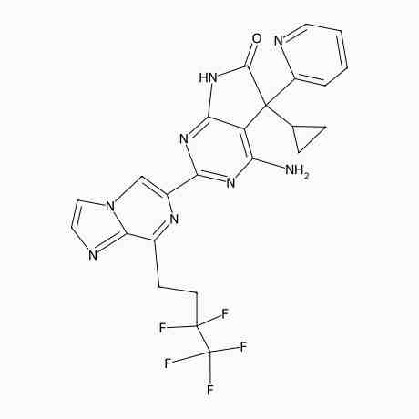 Nc1nc(-c2cn3ccnc3c(CCC(F)(F)C(F)(F)F)n2)nc2c1C(c1ccccn1)(C1CC1)C(=O)N2